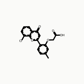 Cc1ccc(-c2cc(=O)c3cccc(Cl)c3o2)c(OCC(=O)O)c1